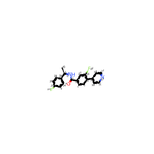 C[C@@H](NC(=O)c1ccc(-c2ccncc2)c(F)c1)c1ccc(F)cc1